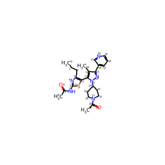 CCCc1nc(NC(C)=O)sc1-c1c(C)c(-c2cccnc2)nn1C1CCN(C(C)=O)CC1